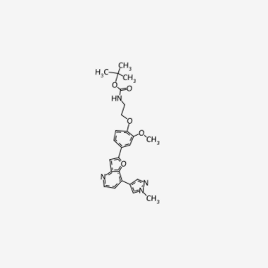 COc1cc(-c2cc3nccc(-c4cnn(C)c4)c3o2)ccc1OCCNC(=O)OC(C)(C)C